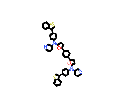 c1cncc(N(c2ccc(-c3csc4ccccc34)cc2)c2ccc(-c3ccc(-c4ccc(N(c5ccc(-c6csc7ccccc67)cc5)c5cccnc5)o4)cc3)o2)c1